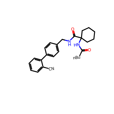 CCCCC(=O)NC1(C(=O)NCc2ccc(-c3ccccc3C#N)cc2)CCCCC1